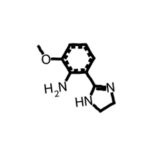 COc1cccc(C2=NCCN2)c1N